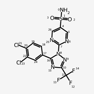 NS(=O)(=O)c1cnc(-n2nc(C(F)(F)F)nc2-c2ccc(Cl)c(Cl)c2)nc1